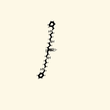 Cl.Cl.Cl.Cl.c1ccc(CNCCCCNCCCCCCCNCCCCNCc2ccccc2)cc1